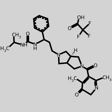 CC1=NCC(=O)C(C)=C1C(=O)N1CC2CN(CCC(NC(=O)NC(C)C)c3ccccc3)C[C@H]2C1.O=C(O)C(F)(F)F